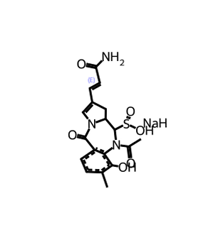 CC(=O)N1c2c(ccc(C)c2O)C(=O)N2C=C(/C=C/C(N)=O)CC2C1S(=O)O.[NaH]